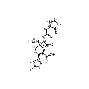 Cc1nnc(C2=C(C(=O)O)N3C(=O)C(NC(=O)CC4N=CSC4=N)[C@H]3SC2)s1.[NaH]